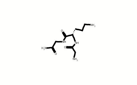 NCCC[C@H](NC(=O)CN)C(=O)NCC(N)=O